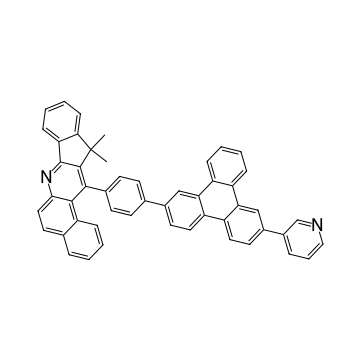 CC1(C)c2ccccc2-c2nc3ccc4ccccc4c3c(-c3ccc(-c4ccc5c6ccc(-c7cccnc7)cc6c6ccccc6c5c4)cc3)c21